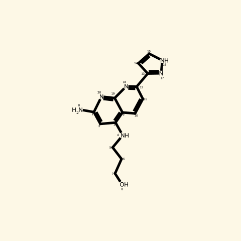 Nc1cc(NCCCO)c2ccc(-c3cc[nH]n3)nc2n1